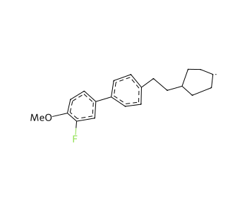 COc1ccc(-c2ccc(CCC3CC[CH]CC3)cc2)cc1F